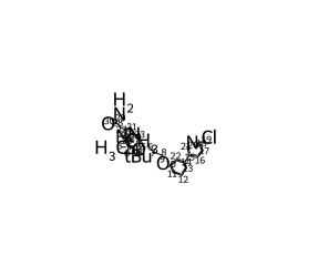 CC(C)(C)[Si](C)(C)O[C@@H](CCCOc1cccc(-c2ccc(Cl)nc2)c1)Cn1cnc(C(N)=O)c1